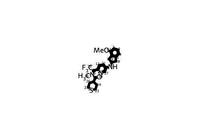 COc1cccc2c1CC(Nc1ccc(C(N(C)C(=O)C3CCSCC3)C(F)(F)F)nc1)C2